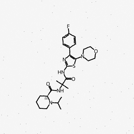 CC(C)N1CCCC[C@H]1C(=O)NC(C)(C)C(=O)Nc1nc(-c2ccc(F)cc2)c(N2CCOCC2)s1